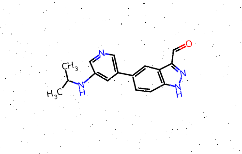 CC(C)Nc1cncc(-c2ccc3[nH]nc(C=O)c3c2)c1